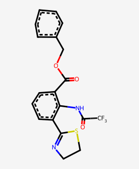 O=C(OCc1ccccc1)c1cccc(C2=NCCS2)c1NC(=O)C(F)(F)F